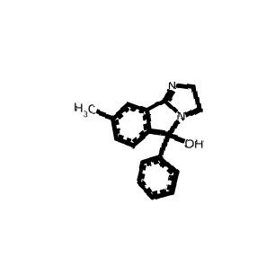 Cc1ccc2c(c1)C1=NCCN1C2(O)c1ccccc1